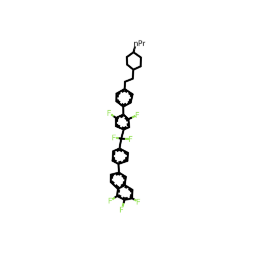 CCCC1CCC(CCc2ccc(-c3c(F)cc(C(F)(F)c4ccc(-c5ccc6c(F)c(F)c(F)cc6c5)cc4)cc3F)cc2)CC1